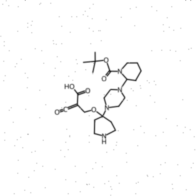 CC(C)(C)OC(=O)N1CCCCC1N1CCN(C2(OCC(=C=O)C(=O)O)CCNCC2)CC1